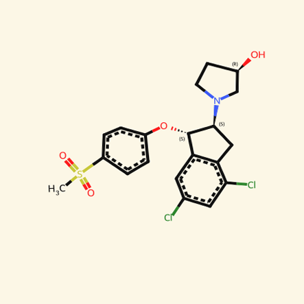 CS(=O)(=O)c1ccc(O[C@H]2c3cc(Cl)cc(Cl)c3C[C@@H]2N2CC[C@@H](O)C2)cc1